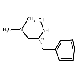 CN[C@H](Cc1ccccc1)CN(C)C